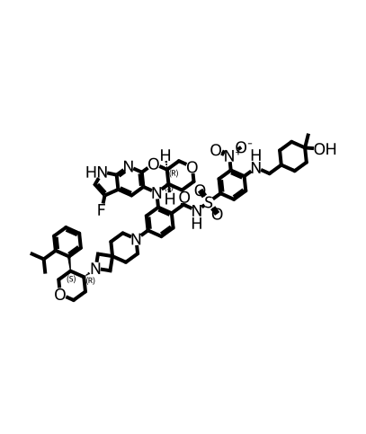 CC(C)c1ccccc1[C@@H]1COCC[C@H]1N1CC2(CCN(c3ccc(C(=O)NS(=O)(=O)c4ccc(NCC5CCC(C)(O)CC5)c([N+](=O)[O-])c4)c(N4c5cc6c(F)c[nH]c6nc5O[C@H]5COCC[C@@H]54)c3)CC2)C1